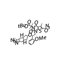 COc1ccccc1C(Cn1c(=O)n(C(C)(C)C(=O)OC(C)(C)C)c(=O)c2c(C)c(-c3ncco3)sc21)OC1C[C@H]2CC(N=[N+]=[N-])C[C@H]2C1